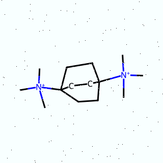 C[N+](C)(C)C12CCC([N+](C)(C)C)(CC1)CC2